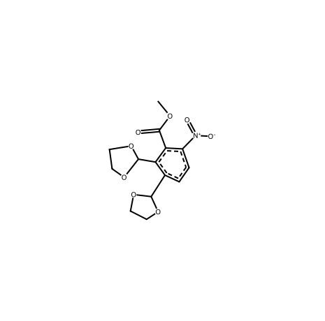 COC(=O)c1c([N+](=O)[O-])ccc(C2OCCO2)c1C1OCCO1